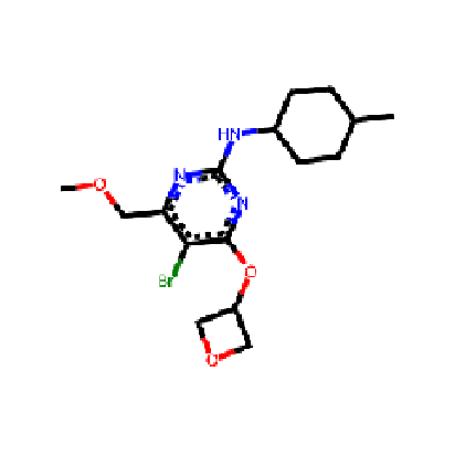 COCc1nc(NC2CCC(C)CC2)nc(OC2COC2)c1Br